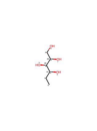 CC[C@H](O)[C@@H](O)[C@H](O)CO